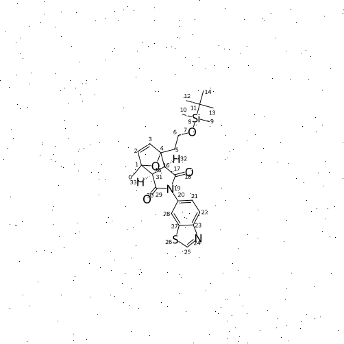 CC12C=CC(CCO[Si](C)(C)C(C)(C)C)(O1)[C@H]1C(=O)N(c3ccc4ncsc4c3)C(=O)[C@H]12